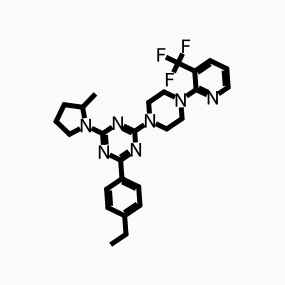 CCc1ccc(-c2nc(N3CCN(c4ncccc4C(F)(F)F)CC3)nc(N3CCCC3C)n2)cc1